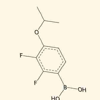 CC(C)Oc1ccc(B(O)O)c(F)c1F